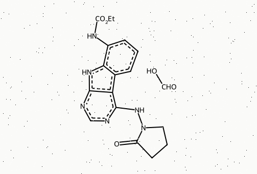 CCOC(=O)Nc1cccc2c1[nH]c1ncnc(NN3CCCC3=O)c12.O=CO